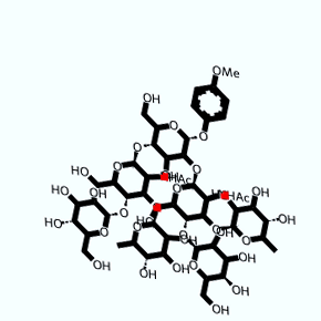 COc1ccc(O[C@H]2OC(CO)[C@@H](O[C@@H]3OC(CO)[C@@H](O[C@@H]4OC(CO)[C@H](O)C(O)C4O)C(O[C@@H]4OC(C)[C@@H](O)C(O)C4O)C3NC(C)=O)C(O)C2O[C@@H]2OC(CO)[C@@H](O[C@@H]3OC(CO)[C@H](O)C(O)C3O)C(O[C@@H]3OC(C)[C@@H](O)C(O)C3O)C2NC(C)=O)cc1